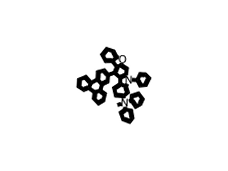 C[N+](c1ccccc1)(c1ccccc1)c1ccc2c3c(-c4ccc5c6ccccc6c6ccccc6c5c4)c4c(cc3n(-c3ccccc3)c2c1)oc1ccccc14